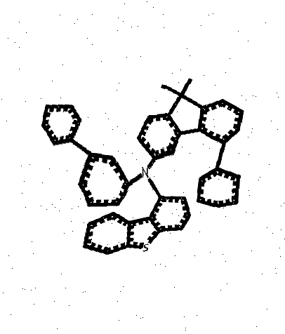 CC1(C)c2ccc(N(c3cccc(-c4ccccc4)c3)c3cccc4sc5ccccc5c34)cc2-c2c(-c3ccccc3)cccc21